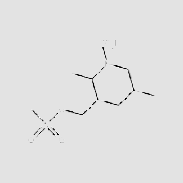 CC1CC(COS(C)(=O)=O)C(C)N(C(=O)O)C1